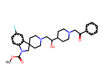 CC(C)(C)OC(=O)N1CC2(CCN(CC(O)C3CCN(CC(=O)c4ccccc4)CC3)CC2)c2cc(F)ccc21